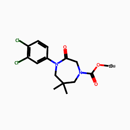 CC1(C)CN(C(=O)OC(C)(C)C)CC(=O)N(c2ccc(Cl)c(Cl)c2)C1